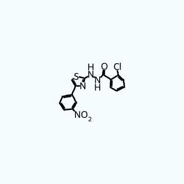 O=C(NNc1nc(-c2cccc([N+](=O)[O-])c2)cs1)c1ccccc1Cl